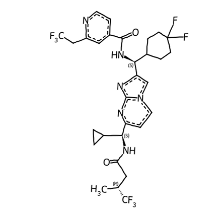 C[C@H](CC(=O)N[C@H](c1ccn2cc([C@@H](NC(=O)c3ccnc(CC(F)(F)F)c3)C3CCC(F)(F)CC3)nc2n1)C1CC1)C(F)(F)F